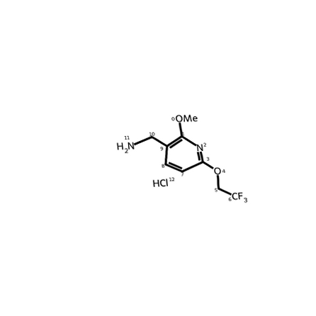 COc1nc(OCC(F)(F)F)ccc1CN.Cl